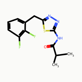 CC(C)C(=O)Nc1nnc(Cc2cccc(F)c2F)s1